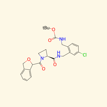 CC(C)(C)OC(=O)NCc1ccc(Cl)cc1CNC(=O)[C@@H]1CCN1C(=O)C1OCc2ccccc21